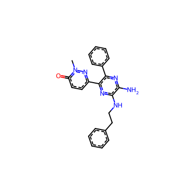 Cn1nc(-c2nc(NCCc3ccccc3)c(N)nc2-c2ccccc2)ccc1=O